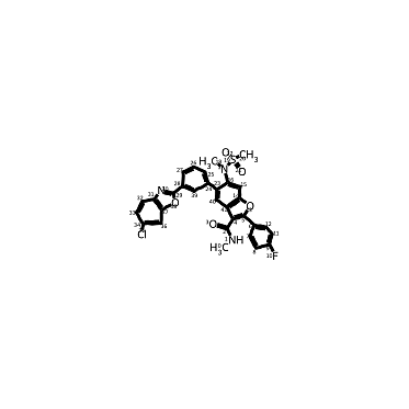 CNC(=O)c1c(-c2ccc(F)cc2)oc2cc(N(C)S(C)(=O)=O)c(-c3cccc(-c4nc5ccc(Cl)cc5o4)c3)cc12